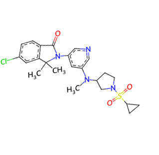 CN(c1cncc(N2C(=O)c3ccc(Cl)cc3C2(C)C)c1)C1CCN(S(=O)(=O)C2CC2)C1